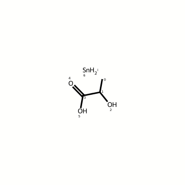 CC(O)C(=O)O.[SnH2]